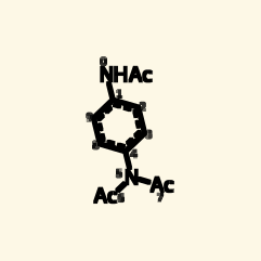 CC(=O)Nc1ccc(N(C(C)=O)C(C)=O)cc1